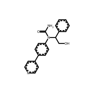 NC(=O)N(c1ccc(-c2ccncc2)cc1)C(CO)c1ccccc1